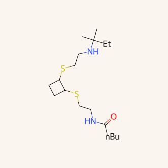 CCCCC(=O)NCCSC1CCC1SCCNC(C)(C)CC